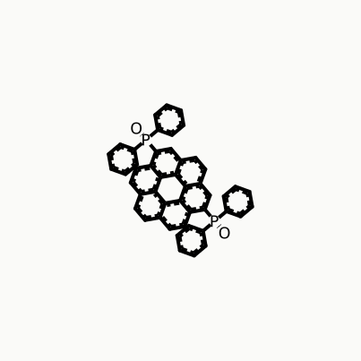 O=P(c1ccccc1)(c1ccccc1)c1cc2ccc3cc(P(=O)(c4ccccc4)c4ccccc4)c4ccc5ccc6ccc1c1c6c5c4c3c21